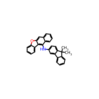 CC1(C)c2ccccc2-c2cc(Nc3c4ccccc4cc4oc5ccccc5c34)ccc21